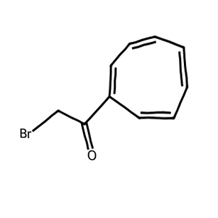 O=C(CBr)C1=C/C=C\C=C/C=C\1